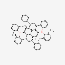 Cc1cccc(C)c1B1c2ccccc2-c2cc(-c3ccccc3)c3cc4c5c(cc(-c6ccccc6)c6cc1c2c3c65)-c1ccccc1B4c1c(C)cccc1C